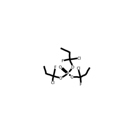 CCC(F)(Cl)OP(=O)(OC(F)(Cl)CC)OC(F)(Cl)CC